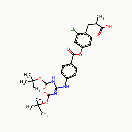 CC(Cc1ccc(OC(=O)c2ccc(N/C(=N/C(=O)OC(C)(C)C)NC(=O)OC(C)(C)C)cc2)cc1Cl)C(=O)O